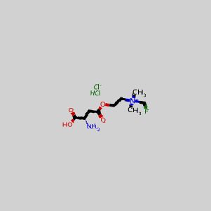 C[N+](C)(CF)CCOC(=O)C[C@H](N)C(=O)O.Cl.[Cl-]